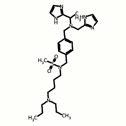 CCCN(CCC)CCCCN(Cc1ccc(CN(Cc2ncc[nH]2)C(C)c2ncc[nH]2)cc1)S(C)(=O)=O